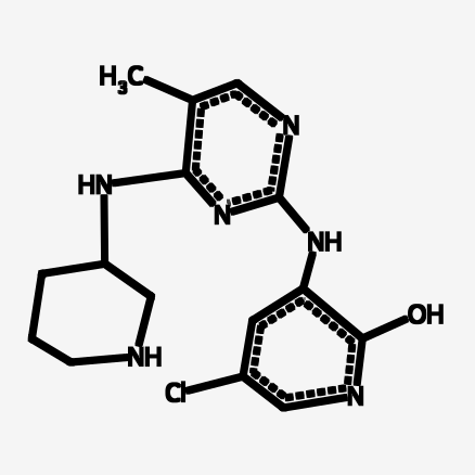 Cc1cnc(Nc2cc(Cl)cnc2O)nc1NC1CCCNC1